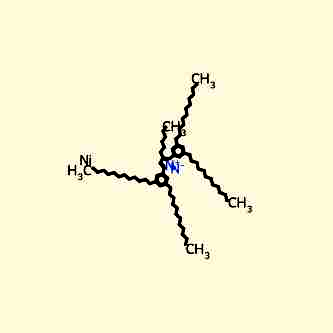 CCCCCCCCCCCCCc1cc(CCCCCCCCCCCCC)cc(C2=CC(CCCCCC)=C(c3cc(CCCCCCCCCCCCC)cc(CCCCCCCCCCCCC)c3)[N+]2=[N-])c1.[Ni]